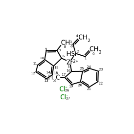 C=C[SiH](C=C)[Zr+2]([CH]1C(C)=Cc2ccccc21)[CH]1C(C)=Cc2ccccc21.[Cl-].[Cl-]